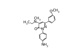 CCN(C)c1cc(-c2cccc(OC)c2)nn(-c2ccc(N)cc2)c1=O